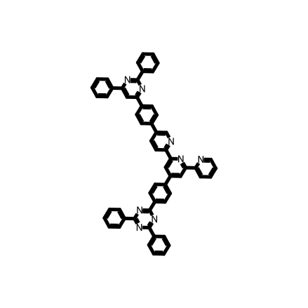 c1ccc(-c2cc(-c3ccc(-c4ccc(-c5cc(-c6ccc(-c7nc(-c8ccccc8)nc(-c8ccccc8)n7)cc6)cc(-c6ccccn6)n5)nc4)cc3)nc(-c3ccccc3)n2)cc1